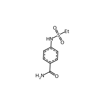 CCS(=O)(=O)Nc1ccc(C(N)=O)cc1